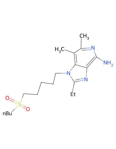 CCCCS(=O)(=O)CCCCCn1c(CC)nc2c(N)nc(C)c(C)c21